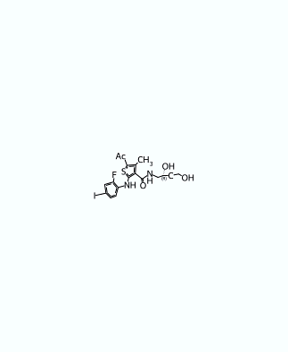 CC(=O)c1sc(Nc2ccc(I)cc2F)c(C(=O)NC[C@H](O)CCO)c1C